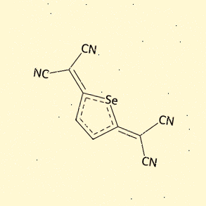 N#CC(C#N)=c1ccc(=C(C#N)C#N)[se]1